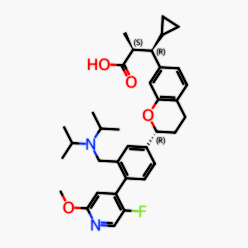 COc1cc(-c2ccc([C@H]3CCc4ccc([C@H](C5CC5)[C@H](C)C(=O)O)cc4O3)cc2CN(C(C)C)C(C)C)c(F)cn1